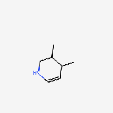 CC1C=CNCC1C